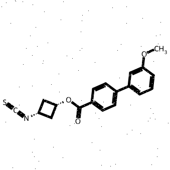 COc1cccc(-c2ccc(C(=O)O[C@H]3C[C@@H](N=C=S)C3)cc2)c1